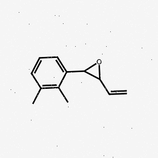 C=CC1OC1c1cccc(C)c1C